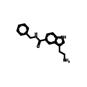 NCCc1c[nH]c2ccc(C(=O)NCc3ccccc3)cc12